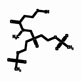 CN(CP(=O)(CCOS(C)(=O)=O)CCOS(C)(=O)=O)C(=O)CCSS